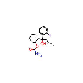 CC[C@@](O)(c1ccccc1I)[C@H]1CCCC[C@@H]1OC(N)=O